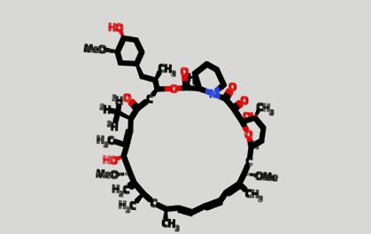 [2H]C([2H])([2H])[C@@H]1/C=C(\C)[C@@H](O)[C@@H](OC)C(=C)[C@H](C)C[C@H](C)/C=C/C=C/C=C(\C)[C@@H](OC)C[C@@H]2CC[C@@H](C)[C@@](O)(O2)C(=O)C(=O)N2CCCC[C@H]2C(=O)O[C@H]([C@H](C)C[C@@H]2CC[C@@H](O)[C@H](OC)C2)CC1=O